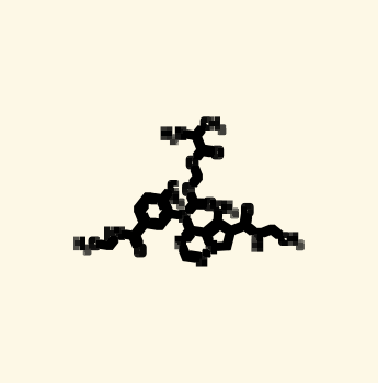 CCNC(=O)c1ccc(C)c(N(C(=O)OCOC(=O)C(C)N)C2=NC=NN3CC(C(=O)NCC)C(C)=C23)c1